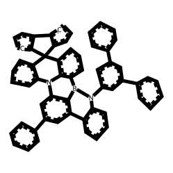 c1ccc(-c2cc(-c3ccccc3)cc(N3B4c5cccc6c5N(c5ccccc5C65c6ccccc6-c6ccccc65)c5cc(-c6ccccc6)cc(c54)-c4ccccc43)c2)cc1